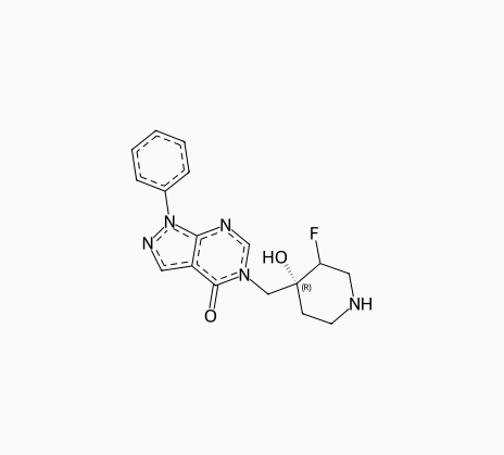 O=c1c2cnn(-c3ccccc3)c2ncn1C[C@]1(O)CCNCC1F